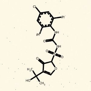 CC(C)c1cc(Cl)cc(C(C)C)c1NC(=O)NS(=O)(=O)C1OC=C(C(C)(C)O)C1=O